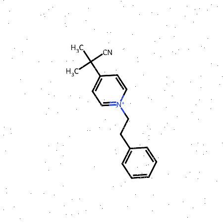 CC(C)(C#N)c1cc[n+](CCc2ccccc2)cc1